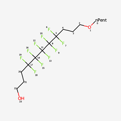 CCCCCOCCCC(F)(F)C(F)(F)C(F)(F)C(F)(F)C(F)(F)CCCO